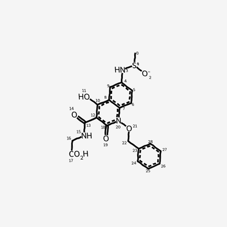 C[S+]([O-])Nc1ccc2c(c1)c(O)c(C(=O)NCC(=O)O)c(=O)n2OCc1ccccc1